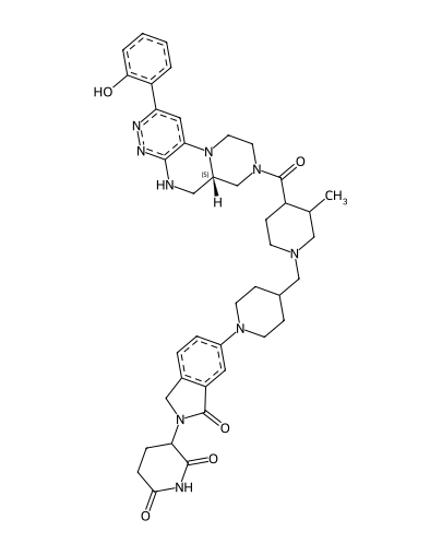 CC1CN(CC2CCN(c3ccc4c(c3)C(=O)N(C3CCC(=O)NC3=O)C4)CC2)CCC1C(=O)N1CCN2c3cc(-c4ccccc4O)nnc3NC[C@H]2C1